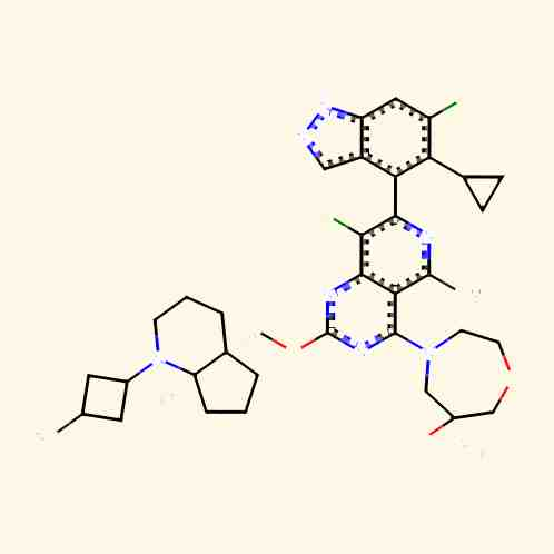 COc1nc(-c2c(C3CC3)c(Cl)cc3[nH]ncc23)c(F)c2nc(OC[C@]34CCC[C@H]3N(C3CC(C#N)C3)CCC4)nc(N3CCOC[C@@](C)(O)C3)c12